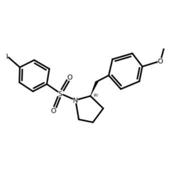 COc1ccc(C[C@H]2CCCN2S(=O)(=O)c2ccc(I)cc2)cc1